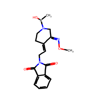 CO/N=C1/CN(B(C)O)CC/C1=C\CN1C(=O)c2ccccc2C1=O